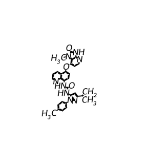 C=C(C)c1cc(NC(=O)Nc2ccc(Oc3ccnc4[nH]c(=O)n(C)c34)c3cccnc23)n(-c2ccc(C)cc2)n1